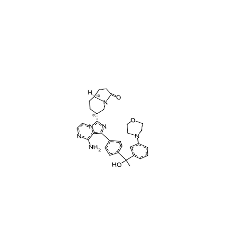 CC(O)(c1ccc(-c2nc([C@@H]3CC[C@H]4CCC(=O)N4C3)n3ccnc(N)c23)cc1)c1cccc(N2CCOCC2)c1